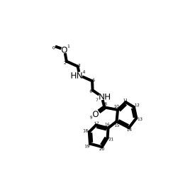 COCCNCCNC(=O)c1ccccc1-c1ccccc1